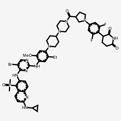 CCc1cc(Nc2ncc(Br)c(Nc3ccc4nc(NC5CC5)ccc4c3P(C)(C)=O)n2)c(OC)cc1N1CCC(N2CCN(C(=O)C3CCN(c4cc(F)c(C5CCC(=O)NC5=O)c(F)c4)C3)CC2)CC1